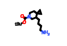 CC(C)(C)OC(=O)N1CCC2(CC2)C(CCCCN)C1